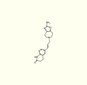 Nc1nc2c(s1)CCN(CC=Cc1ccc3c(c1)CCC(=O)N3)CC2